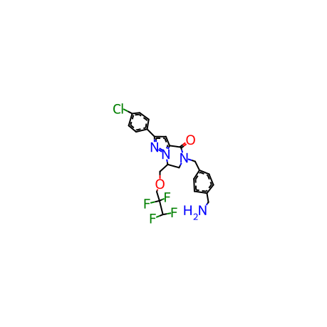 NCc1ccc(CN2CC(COCC(F)(F)C(F)F)n3nc(-c4ccc(Cl)cc4)cc3C2=O)cc1